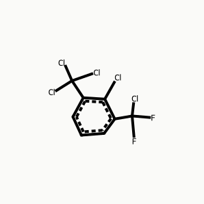 FC(F)(Cl)c1cccc(C(Cl)(Cl)Cl)c1Cl